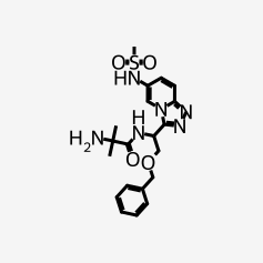 CC(C)(N)C(=O)NC(COCc1ccccc1)c1nnc2ccc(NS(C)(=O)=O)cn12